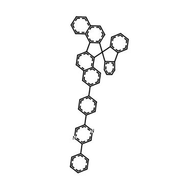 c1ccc(-c2cnc(-c3ccc(-c4ccc5c6c(ccc5c4)-c4c(ccc5ccccc45)C64c5ccccc5-c5ccccc54)cc3)cn2)cc1